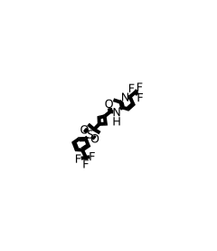 Cc1nc(C(F)(F)F)ccc1NC(=O)C1CC(C(C)(C)S(=O)(=O)c2cccc(C(F)(F)F)c2)C1